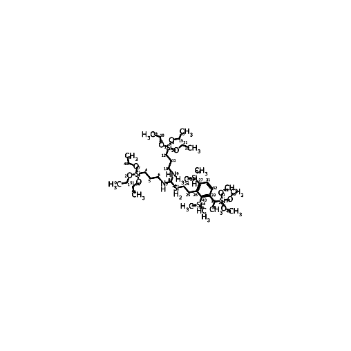 CCO[Si](CCCNC(NCCC[Si](OCC)(OCC)OCC)[SiH2]CCc1c([SiH](C)C)ccc(C(C)[Si](OC)(OC)OC)c1[SiH](C)C)(OCC)OCC